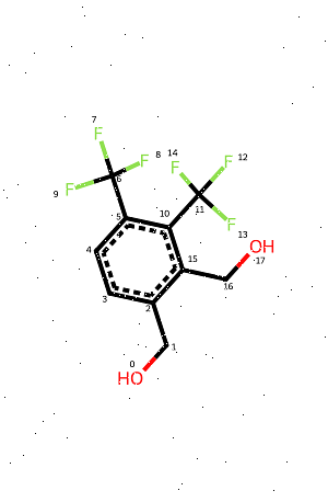 OCc1ccc(C(F)(F)F)c(C(F)(F)F)c1CO